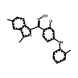 Cc1ccc2c(C(=NO)c3ccc(Nc4ccccc4C)cc3Cl)sc(C)c2c1